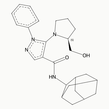 O=C(NC1C2CC3CC(C2)CC1C3)c1cnn(-c2ccccc2)c1N1CCC[C@H]1CO